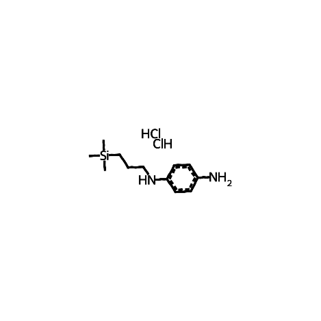 C[Si](C)(C)CCCNc1ccc(N)cc1.Cl.Cl